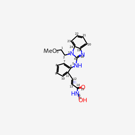 COCCn1c(Nc2ccccc2/C=C/C(=O)NO)nc2ccccc21